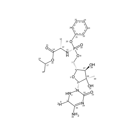 [2H]C1NN([C@@H]2O[C@H](CO[P@@](=O)(N[C@@H](C)C(=O)OC(C)C)Oc3ccccc3)[C@@H](O)[C@@]2(C)O)C(=O)N=C1N